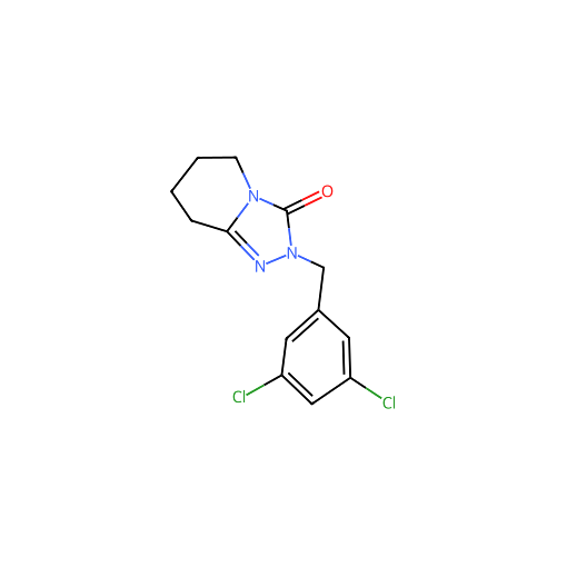 O=c1n(Cc2cc(Cl)cc(Cl)c2)nc2n1CCCC2